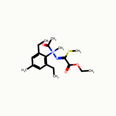 CCOC(=O)C(=N[N+](C)(C(C)=O)c1c(CC)cc(C)cc1CC)SC